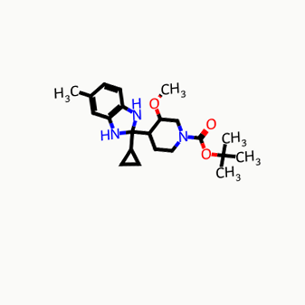 COC1CN(C(=O)OC(C)(C)C)CCC1C1(C2CC2)Nc2ccc(C)cc2N1